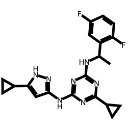 CC(Nc1nc(Nc2cc(C3CC3)[nH]n2)nc(C2CC2)n1)c1cc(F)ccc1F